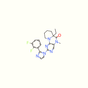 CCC12CCCCN1c1nc(-n3ccnc3-c3cccc(F)c3F)ncc1N(C)C2=O